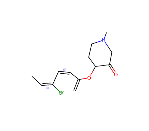 C=C(/C=C\C(Br)=C/C)OC1CCN(C)CC1=O